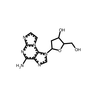 Nc1nc2nccn2c2c1ncn2C1CC(O)C(CO)O1